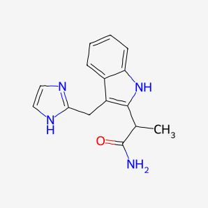 CC(C(N)=O)c1[nH]c2ccccc2c1Cc1ncc[nH]1